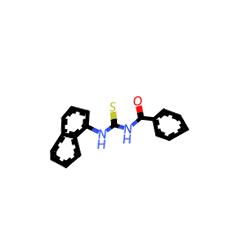 O=C(NC(=S)Nc1cccc2ccccc12)c1ccccc1